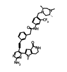 C[C@@H]1CN(Cc2ccc(NC(=O)Cc3cccc(C#Cc4cnc(N)nc4-c4cc5c(n4C)CCNC5=O)c3)cc2C(F)(F)F)[C@@H](C)CN1C